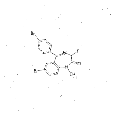 CN1C(=O)C(F)N=C(c2ccc(Br)cc2)c2cc(Br)ccc21